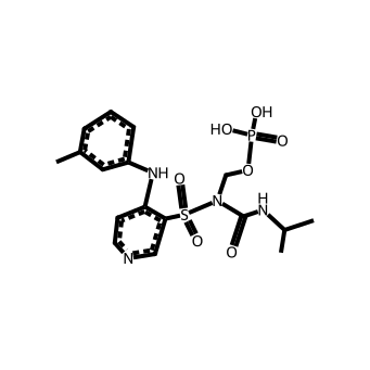 Cc1cccc(Nc2ccncc2S(=O)(=O)N(COP(=O)(O)O)C(=O)NC(C)C)c1